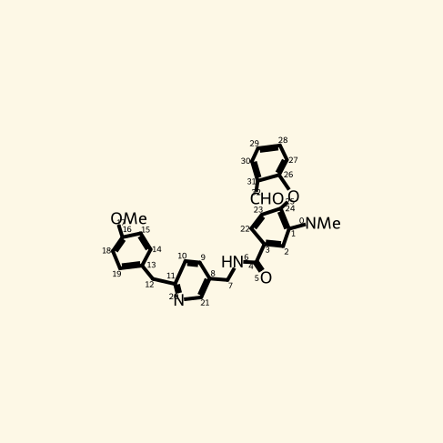 CNc1cc(C(=O)NCc2ccc(Cc3ccc(OC)cc3)nc2)ccc1Oc1ccccc1C=O